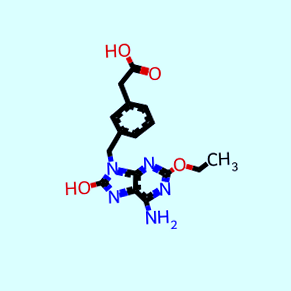 CCOc1nc(N)c2nc(O)n(Cc3cccc(CC(=O)O)c3)c2n1